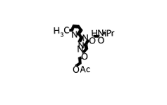 CC(=O)OCCCOc1cc2c(OCC(=O)NC(C)C)nc(-c3cccc(C)n3)cn2n1